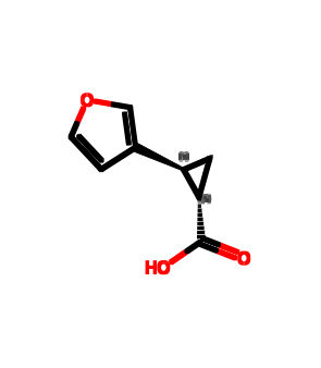 O=C(O)[C@H]1C[C@@H]1c1ccoc1